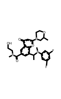 CC1CN(c2cc(=O)c3cc(C(=O)N(C)CCO)cc(C(C)N(C)c4cc(F)cc(F)c4)c3o2)CCO1